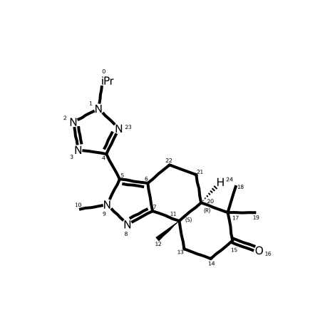 CC(C)n1nnc(-c2c3c(nn2C)[C@@]2(C)CCC(=O)C(C)(C)[C@@H]2CC3)n1